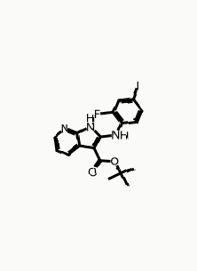 CC(C)(C)OC(=O)c1c(Nc2ccc(I)cc2F)[nH]c2ncccc12